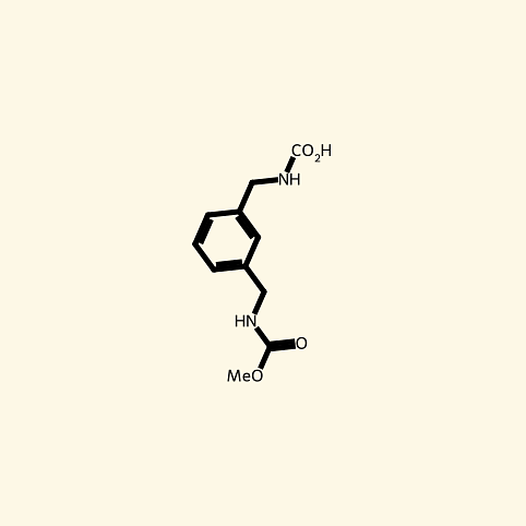 COC(=O)NCc1cccc(CNC(=O)O)c1